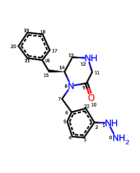 NNc1cccc(CN2C(=O)CNC[C@@H]2Cc2ccccc2)c1